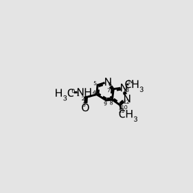 CNC(=O)c1cnc2c(c1)c(C)nn2C